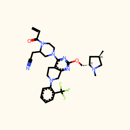 C=CC(=O)N1CCN(c2nc(OC[C@@H]3C[C@@H](C)CN3C)nc3c2CCN(c2ccccc2C(F)(F)F)C3)CC1CC#N